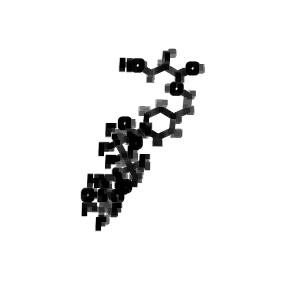 C=C(CO)C(=O)O/C=C\C1CCN(S(=O)(=O)C(F)(F)C(F)(F)C(F)(F)S(=O)(=O)NS(=O)(=O)C(F)(F)F)CC1